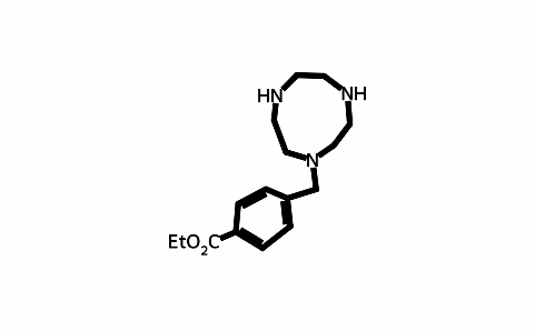 CCOC(=O)c1ccc(CN2CCNCCNCC2)cc1